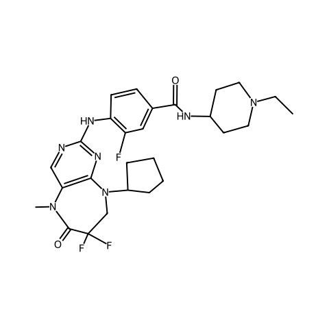 CCN1CCC(NC(=O)c2ccc(Nc3ncc4c(n3)N(C3CCCC3)CC(F)(F)C(=O)N4C)c(F)c2)CC1